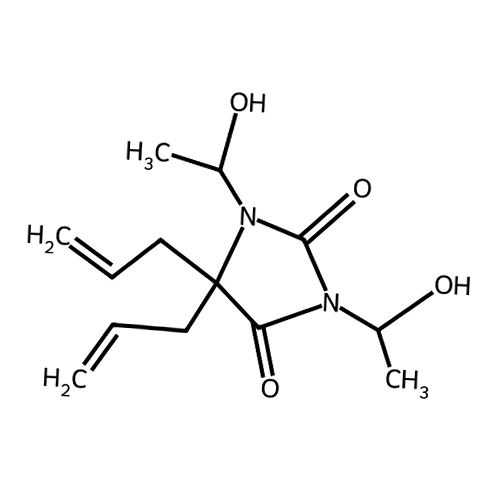 C=CCC1(CC=C)C(=O)N(C(C)O)C(=O)N1C(C)O